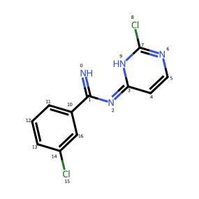 N=C(/N=c1/ccnc(Cl)[nH]1)c1cccc(Cl)c1